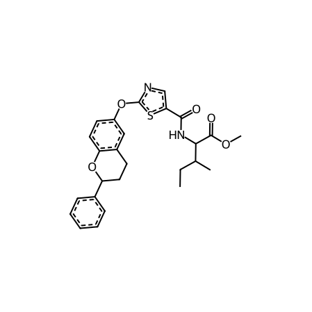 CCC(C)C(NC(=O)c1cnc(Oc2ccc3c(c2)CCC(c2ccccc2)O3)s1)C(=O)OC